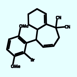 COc1ccc(OC)c(C2C=CCC(C#N)(C#N)C3=CCCCC32)c1Br